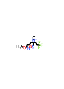 [C-]#[N+]C(C#N)(CCC(F)(F)F)Cc1cc(OC)no1